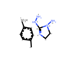 Cc1ccc(S(=O)(=O)O)cc1.NNC1=NCCN1N